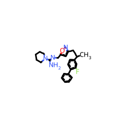 CC(Cc1cc(CN=C(N)N2CCCCC2)on1)c1ccc(-c2ccccc2)c(F)c1